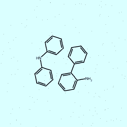 Nc1ccccc1-c1ccccc1.c1ccc(Nc2ccccc2)cc1